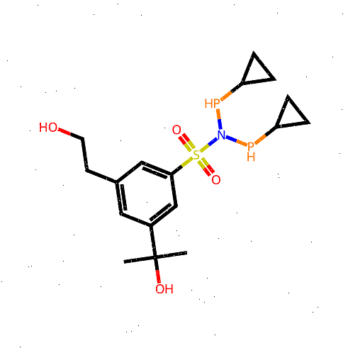 CC(C)(O)c1cc(CCO)cc(S(=O)(=O)N(PC2CC2)PC2CC2)c1